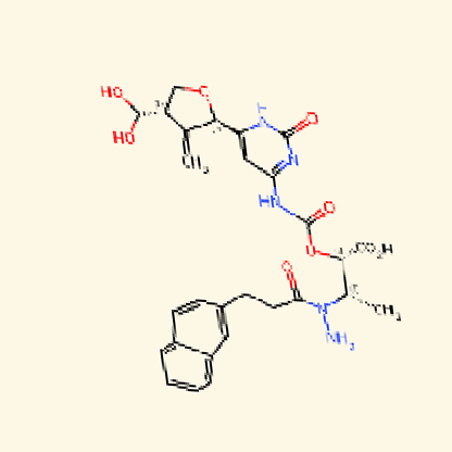 C=C1[C@H](c2cc(NC(=O)O[C@H](C(=O)O)[C@H](C)N(N)C(=O)CCc3ccc4ccccc4c3)nc(=O)[nH]2)OC[C@H]1C(O)O